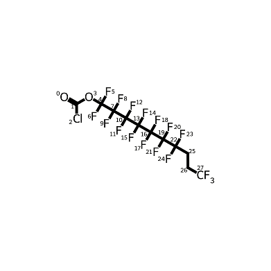 O=C(Cl)OC(F)(F)C(F)(F)C(F)(F)C(F)(F)C(F)(F)C(F)(F)C(F)(F)CCC(F)(F)F